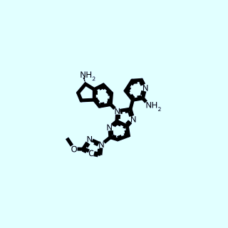 COc1ccn(-c2ccc3nc(-c4cccnc4N)n(-c4ccc5c(c4)CC[C@@H]5N)c3n2)n1